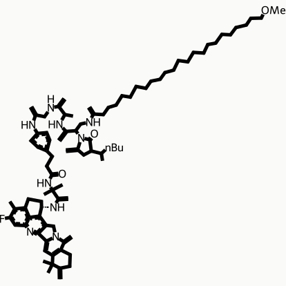 C=C(CCCCCCCCCCCCCCCCCCCCCCCOC)NCC(C(=C)NC(C)C(=C)NCC(=C)Nc1ccc(CCC(=O)NC(C)(C)C(=C)N[C@H]2CCc3c(C)c(F)cc4nc5c(c2c34)CN2C(=C)C3=C(C=C52)C(C)(C)C(=C)CC3)cc1)N1C(=C)CC(C(C)CCCC)C1=O